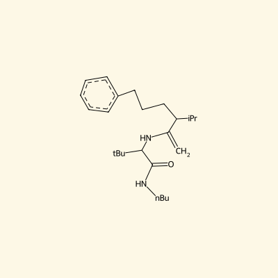 C=C(NC(C(=O)NCCCC)C(C)(C)C)C(CCCc1ccccc1)C(C)C